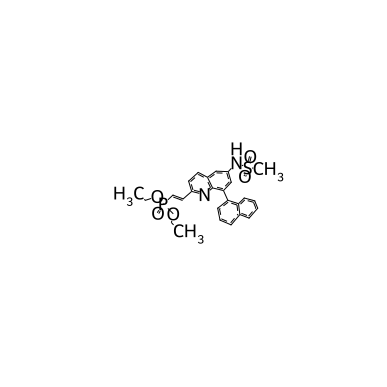 CCOP(=O)(C=Cc1ccc2cc(NS(C)(=O)=O)cc(-c3cccc4ccccc34)c2n1)OCC